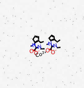 CCN=C(C(=O)[O-])N(C)C1=C(CC)C=CC1.CCN=C(C(=O)[O-])N(C)C1=C(CC)C=CC1.[Co+2]